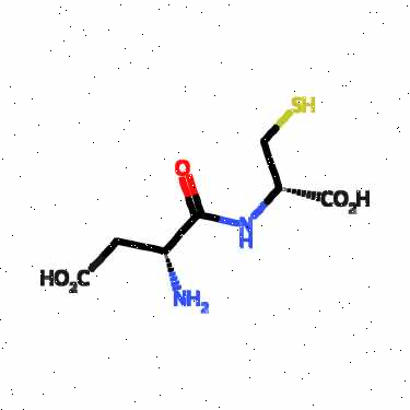 N[C@H](CC(=O)O)C(=O)N[C@H](CS)C(=O)O